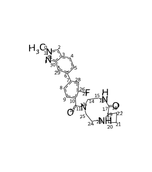 Cn1cc2ccc(-c3ccc(C(=O)N4CCNC(=O)C5(CCC5)NCC4)c(F)c3)cc2n1